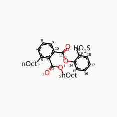 CCCCCCCCOC(=O)c1c(CCCCCCCC)cccc1C(=O)Oc1ccccc1S(=O)(=O)O